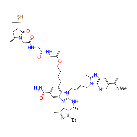 C=C(CNC(=O)CNC(=O)CN1C(=C)CC(C(C)(C)S)C1=O)OCCCCc1cc(C(N)=O)cc2nc(NC(=C)C3=C(CC)N=C(C)C3)n(C/C=C/Cn3c(C)nc4cc(C(=C)NC)cnc43)c12